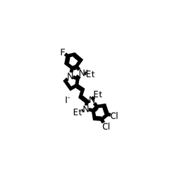 CCN1C(=CC=C2CCn3c2[n+](CC)c2ccc(F)cc23)N(CC)c2cc(Cl)c(Cl)cc21.[I-]